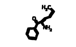 C/C=C\C=C(/N)C(=O)c1ccccc1